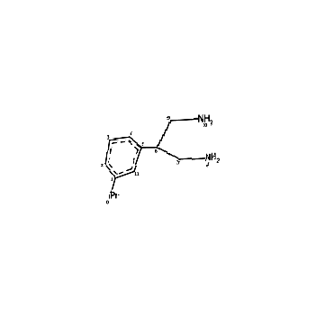 CC(C)c1cccc(C(CN)CN)c1